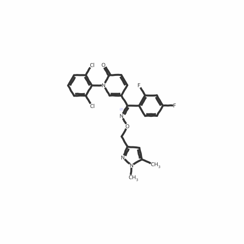 Cc1cc(CO/N=C(/c2ccc(=O)n(-c3c(Cl)cccc3Cl)c2)c2ccc(F)cc2F)nn1C